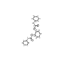 O=C(Cc1ccccc1)Oc1ccccc1OC(=O)Cc1ccccc1